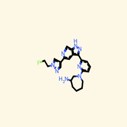 NC1CCCCN(c2cccc(-c3n[nH]c4cnc(-c5cnn(CCF)c5)cc34)n2)C1